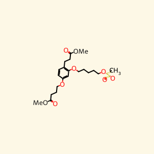 COC(=O)CCCOc1ccc(CCC(=O)OC)c(OCCCCCOS(C)(=O)=O)c1